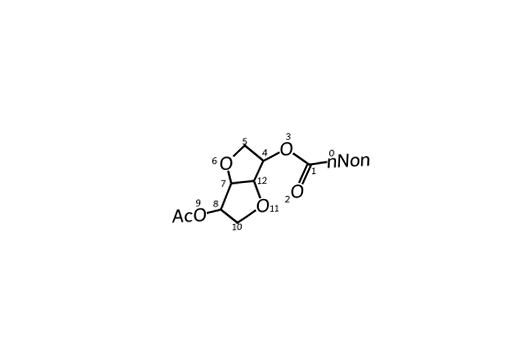 CCCCCCCCCC(=O)OC1COC2C(OC(C)=O)COC12